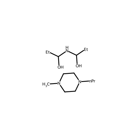 CCC(O)NC(O)CC.CCCN1CCN(C)CC1